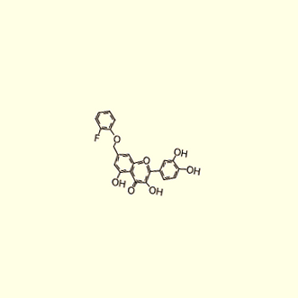 O=c1c(O)c(-c2ccc(O)c(O)c2)oc2cc(COc3ccccc3F)cc(O)c12